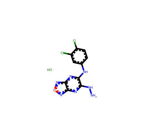 Cl.NNc1nc2nonc2nc1Nc1ccc(Cl)c(Cl)c1